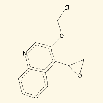 ClCOc1cnc2ccccc2c1C1CO1